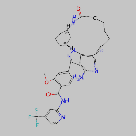 COc1cc(-c2nn3c4c(cnc(N)c24)/C=C/CCCCCC(=O)N[C@@H]2CCC[C@@H]3C2)ccc1C(=O)Nc1cc(C(F)(F)F)ccn1